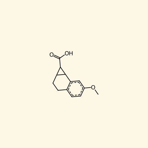 COc1ccc2c(c1)C1C(CC2)C1C(=O)O